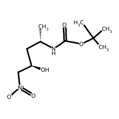 C[C@@H](C[C@@H](O)C[N+](=O)[O-])NC(=O)OC(C)(C)C